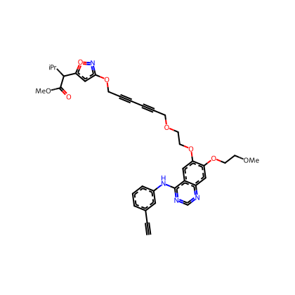 C#Cc1cccc(Nc2ncnc3cc(OCCOC)c(OCCOCC#CC#CCOc4cc(C(C(=O)OC)C(C)C)on4)cc23)c1